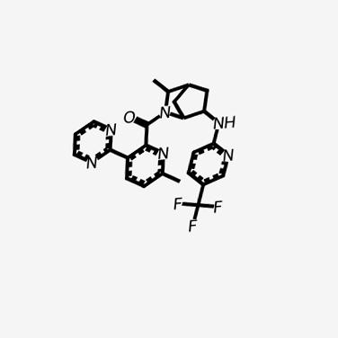 Cc1ccc(-c2ncccn2)c(C(=O)N2C(C)C3CC(Nc4ccc(C(F)(F)F)cn4)C2C3)n1